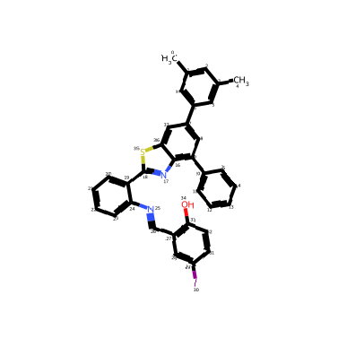 Cc1cc(C)cc(-c2cc(-c3ccccc3)c3nc(-c4ccccc4/N=C/c4cc(I)ccc4O)sc3c2)c1